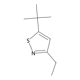 CCc1cc(C(C)(C)C)sn1